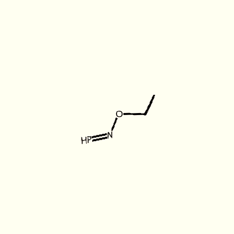 CCON=P